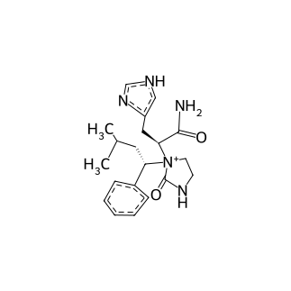 CC(C)C[C@@H](c1ccccc1)[N+]1([C@@H](Cc2c[nH]cn2)C(N)=O)CCNC1=O